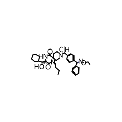 CCCCN1C(=O)[C@@H]([C@H](O)C2CCCCC2)NC(=O)C12CCN(Cc1ccc(/C(=N/OCC)c3ccccc3)cc1)CC2.Cl